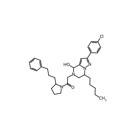 CCCCCC1CN(CC(=O)N2CCCC2CCCc2ccccc2)C(O)c2cc(-c3ccc(Cl)cc3)nn21